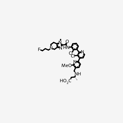 COc1nc(-c2ccnc(-c3cccc(NC(=O)c4nc5c(n4C)CCN(CCCF)C5)c3Cl)c2Cl)ccc1CN[C@H](C)CC(=O)O